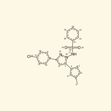 Cc1csc(-c2cc(-c3ccc(Cl)cc3)nn2NS(=O)(=O)c2ccccc2)c1